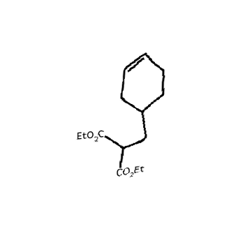 CCOC(=O)C(CC1CC=CCC1)C(=O)OCC